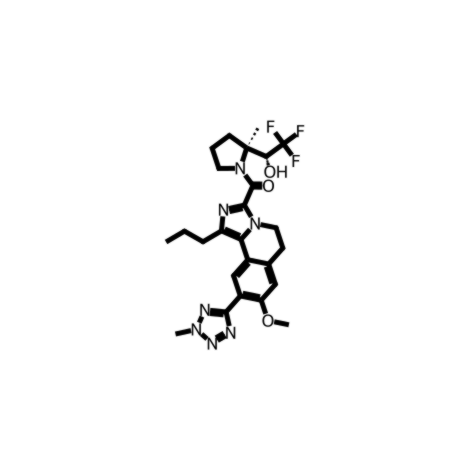 CCCc1nc(C(=O)N2CCC[C@@]2(C)[C@@H](O)C(F)(F)F)n2c1-c1cc(-c3nnn(C)n3)c(OC)cc1CC2